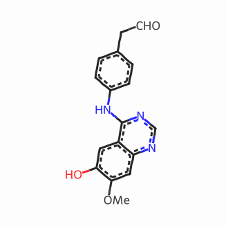 COc1cc2ncnc(Nc3ccc(CC=O)cc3)c2cc1O